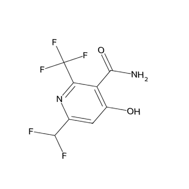 NC(=O)c1c(O)cc(C(F)F)nc1C(F)(F)F